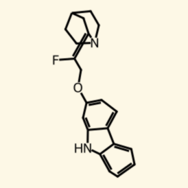 FC(COc1ccc2c(c1)[nH]c1ccccc12)=C1CC2CCN1CC2